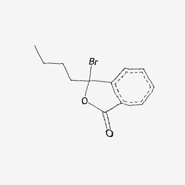 CCCCC1(Br)OC(=O)c2ccccc21